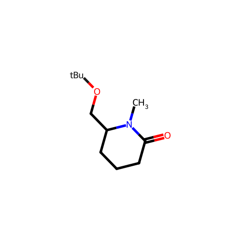 CN1C(=O)CCCC1COC(C)(C)C